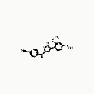 COc1cc(CO)ccc1-c1cc(Nc2cnc(C#N)cn2)n[nH]1